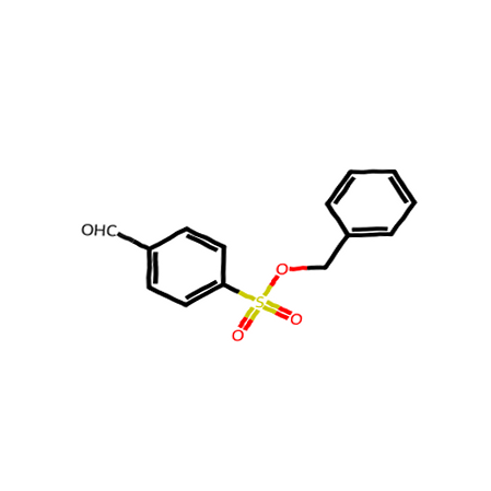 O=Cc1ccc(S(=O)(=O)OCc2ccccc2)cc1